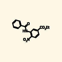 CCOC(=O)c1ccc([N+](=O)[O-])c(NC(=O)c2ccccc2)c1